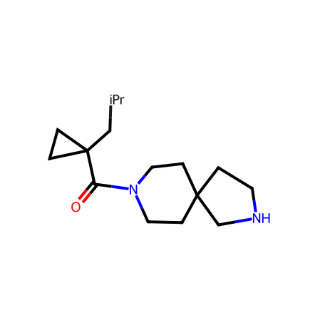 CC(C)CC1(C(=O)N2CCC3(CCNC3)CC2)CC1